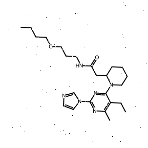 CCCCOCCCNC(=O)CC1CCCCN1c1nc(-n2ccnc2)nc(C)c1CC